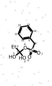 CCC(O)(O)OS(=O)(=O)Cc1ccccc1